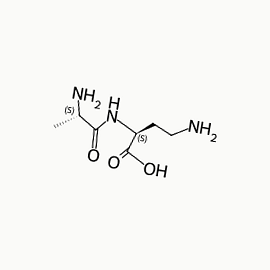 C[C@H](N)C(=O)N[C@@H](CCN)C(=O)O